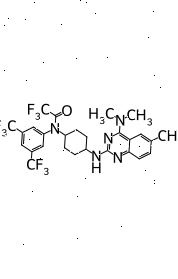 Cc1ccc2nc(NC3CCC(N(C(=O)C(F)(F)F)c4cc(C(F)(F)F)cc(C(F)(F)F)c4)CC3)nc(N(C)C)c2c1